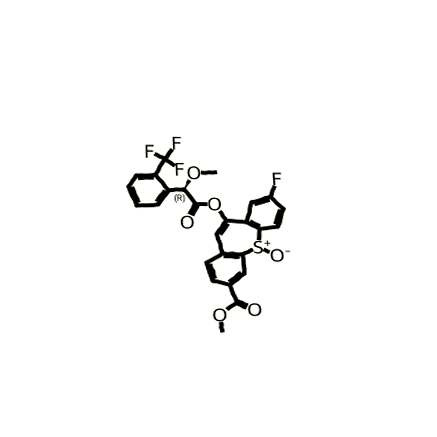 COC(=O)c1ccc2c(c1)[S+]([O-])c1ccc(F)cc1C(OC(=O)[C@H](OC)c1ccccc1C(F)(F)F)=C2